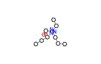 c1ccc(-c2ccc(-c3cccc4c3oc3cccc(-c5nc(-c6ccc(-c7cccc(-c8ccccc8)c7)cc6)nc(-c6cccc(-c7ccccc7)c6)n5)c34)cc2)cc1